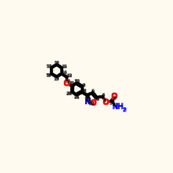 NC(=O)OCc1cc(-c2ccc(OCC3CCCCC3)cc2)no1